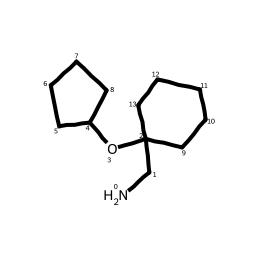 NCC1(OC2CCCC2)CCCCC1